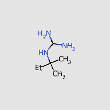 CCC(C)(C)NC(N)N